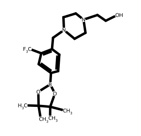 CC1(C)OB(c2ccc(CN3CCN(CCO)CC3)c(C(F)(F)F)c2)OC1(C)C